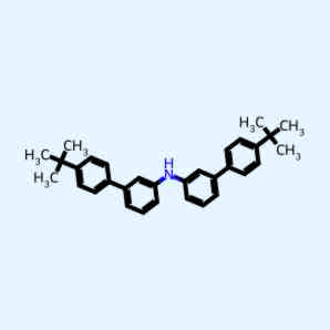 CC(C)(C)c1ccc(-c2cccc(Nc3cccc(-c4ccc(C(C)(C)C)cc4)c3)c2)cc1